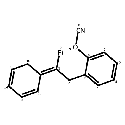 CCC(Cc1ccccc1OC#N)=C1C=CC=CC1